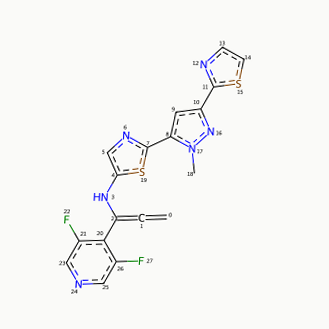 C=C=C(Nc1cnc(-c2cc(-c3nccs3)nn2C)s1)c1c(F)cncc1F